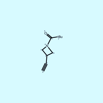 C#CC1CN(C(=O)C(C)(C)C)C1